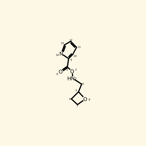 O=C(ONCC1CCO1)c1ccccn1